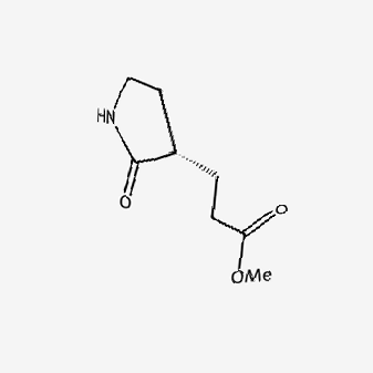 COC(=O)CC[C@H]1CCNC1=O